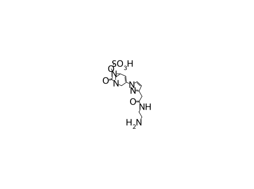 NCCNC(=O)Cc1ccn(C2=CC3CN(C2)C(=O)N3OS(=O)(=O)O)n1